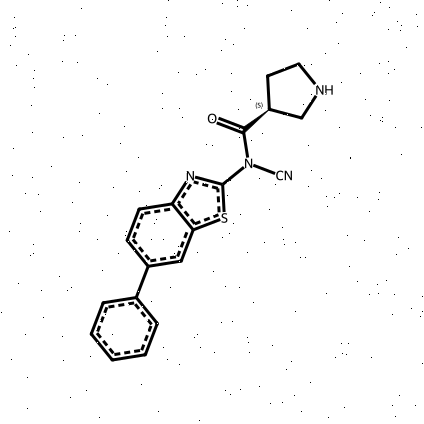 N#CN(C(=O)[C@H]1CCNC1)c1nc2ccc(-c3ccccc3)cc2s1